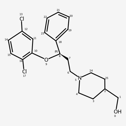 OCC1CCN(CC[C@@H](Oc2cc(Cl)ccc2Cl)c2ccccc2)CC1